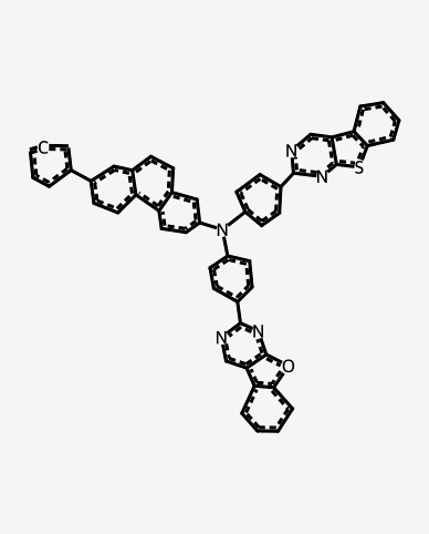 c1ccc(-c2ccc3c(ccc4cc(N(c5ccc(-c6ncc7c(n6)oc6ccccc67)cc5)c5ccc(-c6ncc7c(n6)sc6ccccc67)cc5)ccc43)c2)cc1